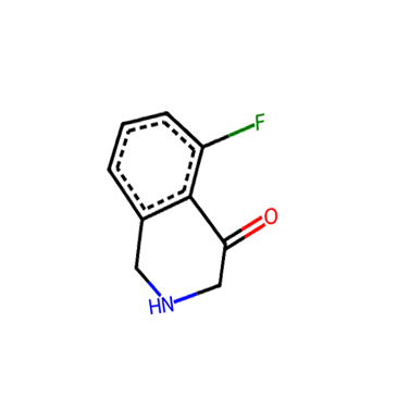 O=C1CNCc2cccc(F)c21